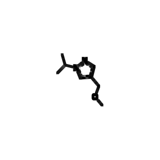 COCc1cnn(C(C)C)c1